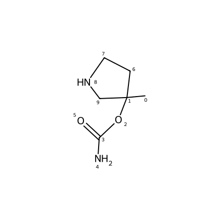 CC1(OC(N)=O)CCNC1